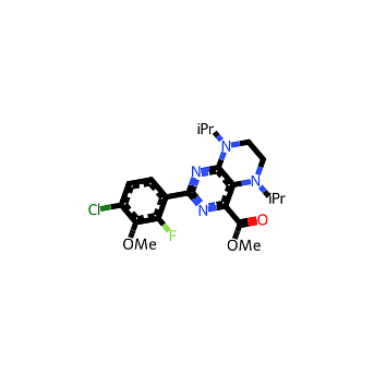 COC(=O)c1nc(-c2ccc(Cl)c(OC)c2F)nc2c1N(C(C)C)CCN2C(C)C